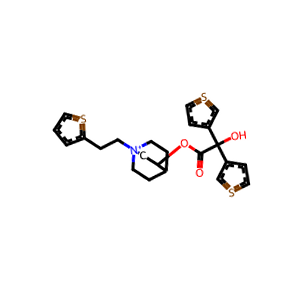 O=C(OC1C[N+]2(CCc3cccs3)CCC1CC2)C(O)(c1ccsc1)c1ccsc1